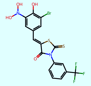 O=C1/C(=C/c2cc(Br)c(O)c(N(O)O)c2)SC(=S)N1c1cccc(C(F)(F)F)c1